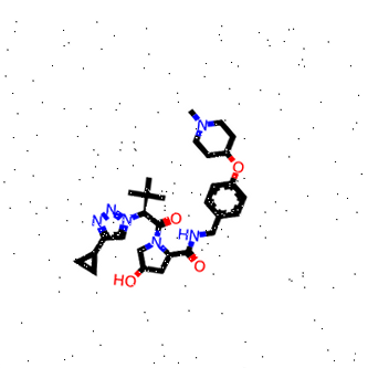 CN1CCC(Oc2ccc(CNC(=O)C3CC(O)CN3C(=O)[C@@H](n3cc(C4CC4)nn3)C(C)(C)C)cc2)CC1